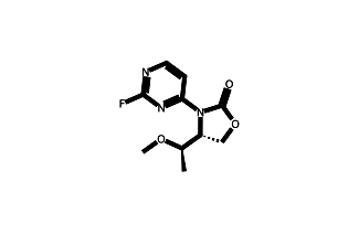 CO[C@H](C)[C@H]1COC(=O)N1c1ccnc(F)n1